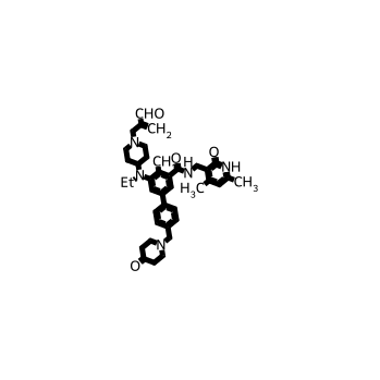 C=C(C=O)CN1CCC(N(CC)c2cc(-c3ccc(CN4CCC(=O)CC4)cc3)cc(C(=O)NCc3c(C)cc(C)[nH]c3=O)c2C)CC1